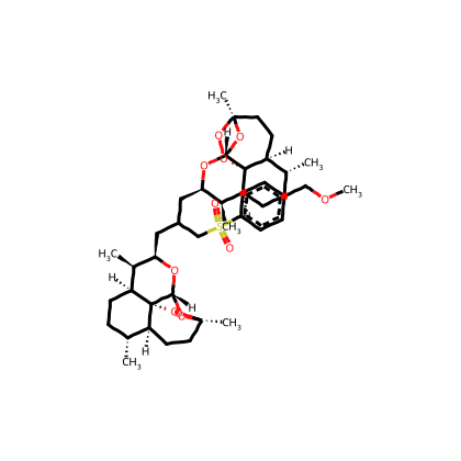 COCc1ccc(S(=O)(=O)CC(C[C@H]2O[C@@H]3O[C@]4(C)CC[C@H]5[C@H](C)CC[C@@H]([C@H]2C)[C@@]35OO4)C[C@H]2O[C@@H]3O[C@]4(C)CC[C@H]5[C@H](C)CC[C@@H]([C@H]2C)[C@@]35OO4)cc1